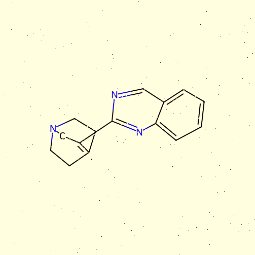 c1ccc2nc(C3=C4CCN(CC4)C3)ncc2c1